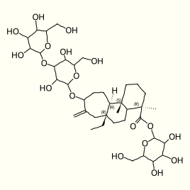 C=C1C[C@@]2(CC)CCC3[C@](C)(C(=O)OC4OC(CO)C(O)C(O)C4O)CCC[C@@]3(C)[C@@H]2CCC1OC1OC(CO)C(O)C(OC2OC(CO)C(O)C(O)C2O)C1O